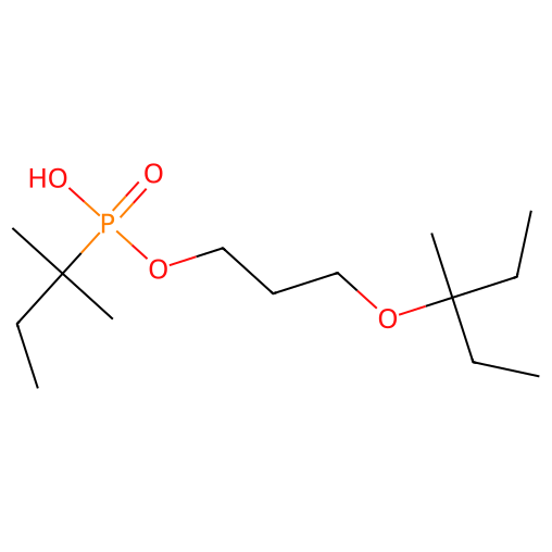 CCC(C)(CC)OCCCOP(=O)(O)C(C)(C)CC